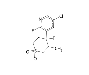 CC1CS(=O)(=O)CCC1(F)c1cc(Cl)cnc1F